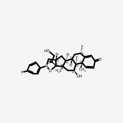 C[C@]12C=CC(=O)C=C1[C@@H](F)C[C@H]1[C@@H]3C[C@H]4CN(c5ccc(F)cc5)O[C@@]4(C(=O)CO)[C@@]3(C)C[C@H](O)[C@@]12F